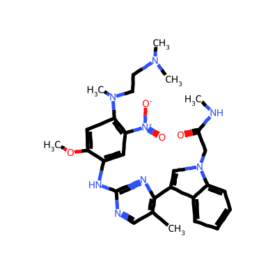 CNC(=O)Cn1cc(-c2nc(Nc3cc([N+](=O)[O-])c(N(C)CCN(C)C)cc3OC)ncc2C)c2ccccc21